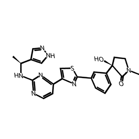 C[C@H](Nc1nccc(-c2csc(-c3cccc([C@]4(O)CCN(C)C4=O)c3)n2)n1)c1cn[nH]c1